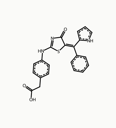 O=C(O)Cc1ccc(NC2=NC(=O)C(=C(c3ccccc3)c3ccc[nH]3)S2)cc1